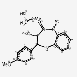 CCN1C(=O)C(OC(C)=O)C(c2ccc(OC)cc2)Sc2ccccc21.CNC.Cl